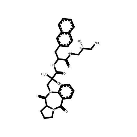 CC(C)(CN1C(=O)C2CCCN2C(=O)c2ccccc21)C(=O)NC(Cc1ccc2ccccc2c1)C(=O)NC[C@H](O)CN